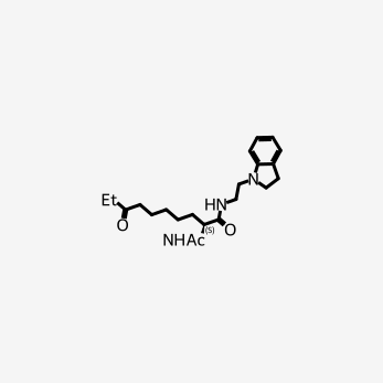 CCC(=O)CCCCC[C@H](NC(C)=O)C(=O)NCCN1CCc2ccccc21